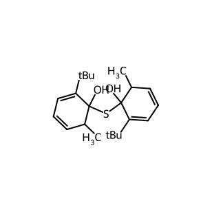 CC1C=CC=C(C(C)(C)C)C1(O)SC1(O)C(C(C)(C)C)=CC=CC1C